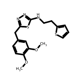 COc1ccc(Cc2nnc(NCCc3cccs3)s2)cc1OC